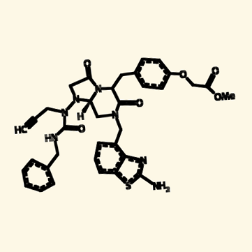 C#CCN(C(=O)NCc1ccccc1)N1CC(=O)N2C(Cc3ccc(OCC(=O)OC)cc3)C(=O)N(Cc3cccc4sc(N)nc34)C[C@@H]21